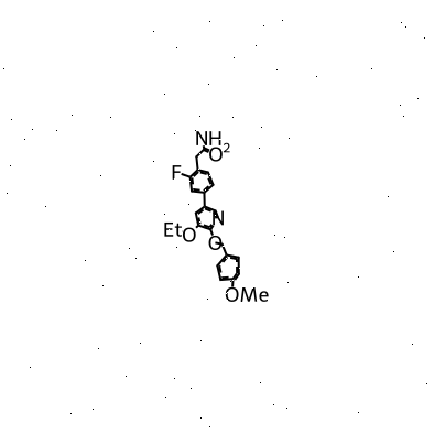 CCOc1cc(-c2ccc(CC(N)=O)c(F)c2)cnc1OCc1ccc(OC)cc1